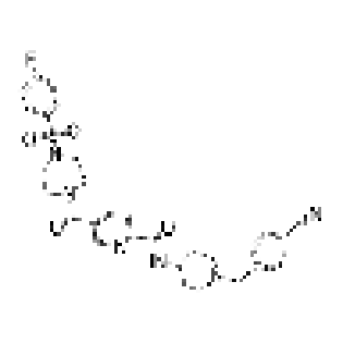 N#Cc1ccc(CN2CCC(NC(=O)c3ccc(C(=O)N4CCN(S(=O)(=O)c5ccc(F)cc5)CC4)cn3)CC2)cc1